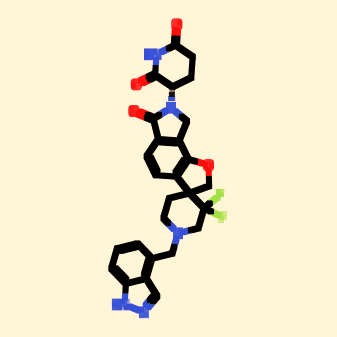 O=C1CC[C@H](N2Cc3c(ccc4c3OCC43CCN(Cc4cccc5[nH]ncc45)CC3(F)F)C2=O)C(=O)N1